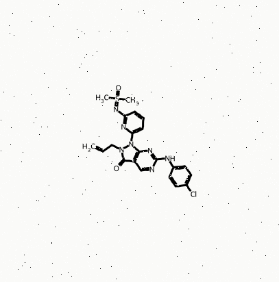 C=CCn1c(=O)c2cnc(Nc3ccc(Cl)cc3)nc2n1-c1cccc(N=S(C)(C)=O)n1